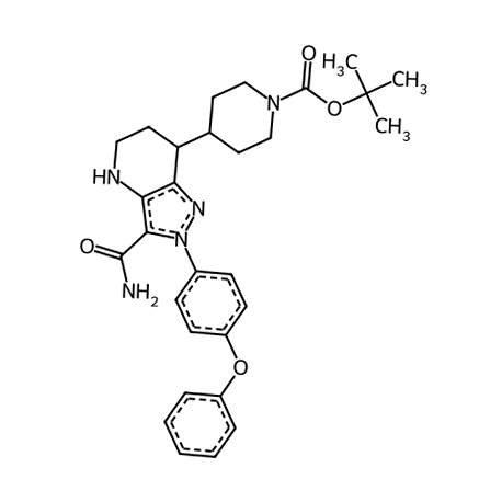 CC(C)(C)OC(=O)N1CCC(C2CCNc3c2nn(-c2ccc(Oc4ccccc4)cc2)c3C(N)=O)CC1